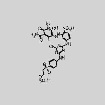 CCn1c(O)c(/N=N/c2cc(Nc3nc(Cl)nc(Nc4ccc(S(=O)(=O)CCOS(=O)(=O)O)cc4)n3)ccc2S(=O)(=O)O)c(C)c(C(N)=O)c1=O